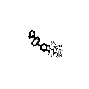 CC(C)(O)[C@@H](C(=O)NO)N1Cc2cc(-c3ccc(-c4ccccc4)cc3)ccc2C1=O